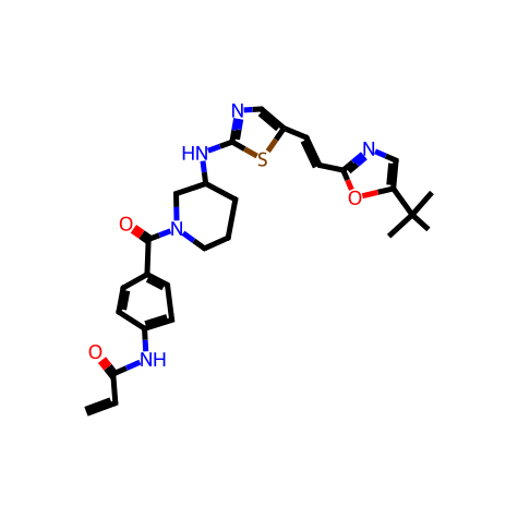 C=CC(=O)Nc1ccc(C(=O)N2CCCC(Nc3ncc(C=Cc4ncc(C(C)(C)C)o4)s3)C2)cc1